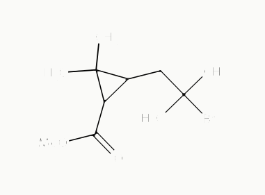 COC(=O)C1C(CC(C)(C)Br)C1(C)C